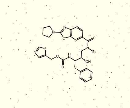 CCN(C[C@@H](O)[C@H](Cc1ccccc1)NC(=O)OCc1cncs1)C(=O)c1ccc2nc(N3CCCC3)oc2c1